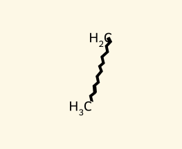 C=CCCCCCCCCC=CCCC